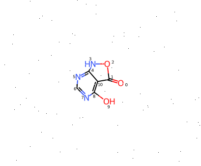 O=c1o[nH]c2ncnc(O)c12